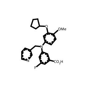 COc1ccc(N(Cc2cccnc2)c2cc(F)cc(C(=O)O)c2)cc1OC1CCCC1